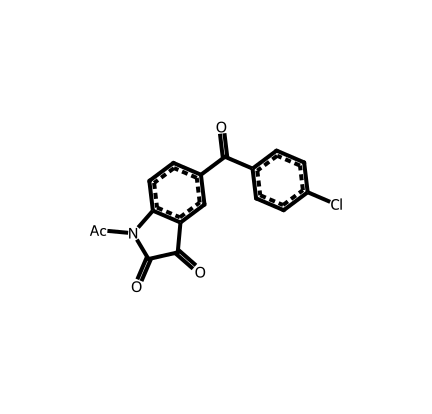 CC(=O)N1C(=O)C(=O)c2cc(C(=O)c3ccc(Cl)cc3)ccc21